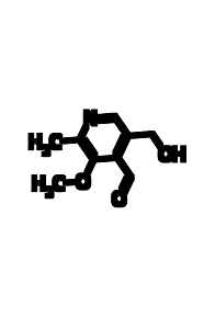 COc1c(C)ncc(CO)c1C=O